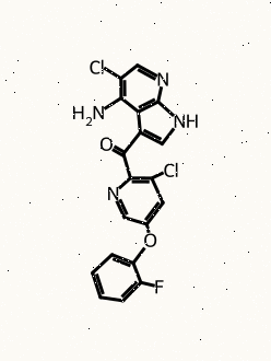 Nc1c(Cl)cnc2[nH]cc(C(=O)c3ncc(Oc4ccccc4F)cc3Cl)c12